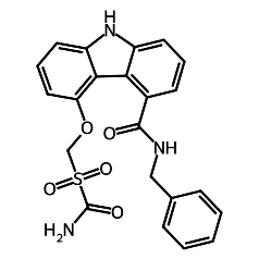 NC(=O)S(=O)(=O)COc1cccc2[nH]c3cccc(C(=O)NCc4ccccc4)c3c12